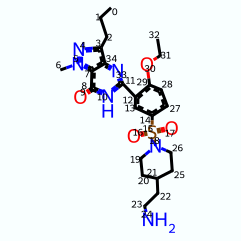 CCCc1nn(C)c2c(=O)[nH]c(-c3cc(S(=O)(=O)N4CCC(CCN)CC4)ccc3OCC)nc12